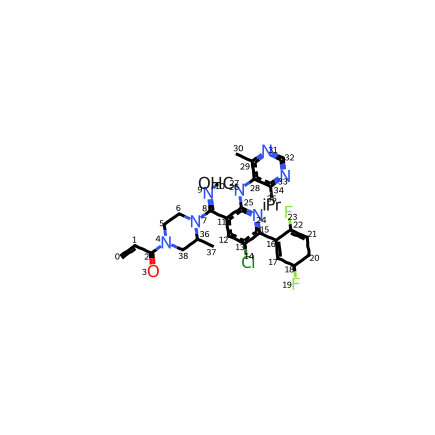 C=CC(=O)N1CCN(/C(=N/C)c2cc(Cl)c(C3=CC(F)CC=C3F)nc2N(C=O)c2c(C)ncnc2C(C)C)C(C)C1